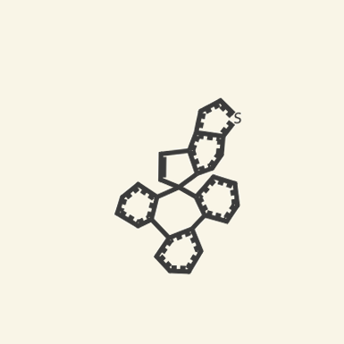 C1=CC2(c3ccccc3-c3ccccc3-c3ccccc32)c2ccc3sccc3c21